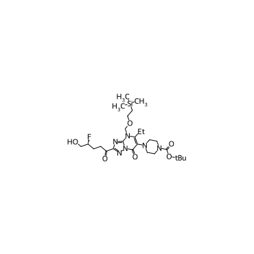 CCc1c(N2CCN(C(=O)OC(C)(C)C)CC2)c(=O)n2nc(C(=O)CC[C@H](F)CO)nc2n1COCC[Si](C)(C)C